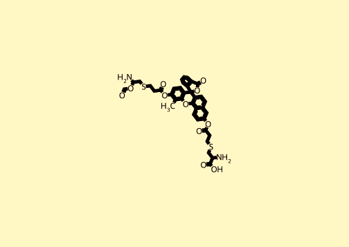 Cc1c(OC(=O)CCSCC(N)OC=O)ccc2c1Oc1c(ccc3cc(OC(=O)CCSCC(N)C(=O)O)ccc13)C21OC(=O)c2ccccc21